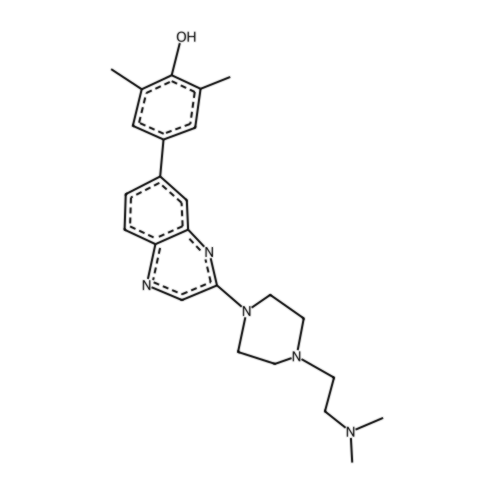 Cc1cc(-c2ccc3ncc(N4CCN(CCN(C)C)CC4)nc3c2)cc(C)c1O